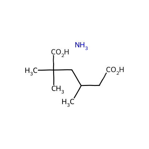 CC(CC(=O)O)CC(C)(C)C(=O)O.N